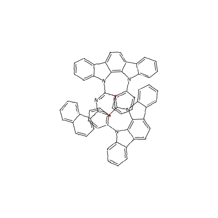 c1ccc(-n2c3ccccc3c3ccc4c5ccccc5n(-c5cc(-n6c7ccccc7c7ccc8c9ccccc9n(-c9ccccc9)c8c76)nc(-c6cccc7ccccc67)n5)c4c32)cc1